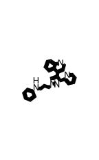 c1ccc(NCCCn2cc(-c3ccnc4ccccc34)c(-c3ccccn3)n2)cc1